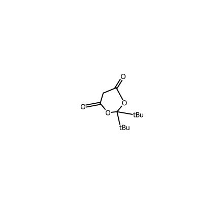 CC(C)(C)C1(C(C)(C)C)OC(=O)CC(=O)O1